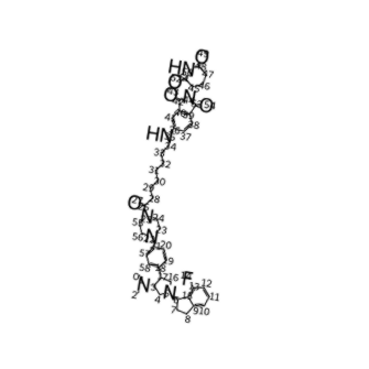 CN(C)[C@H]1CN(C2CCc3cccc(F)c32)C[C@@H]1c1ccc(N2CCN(C(=O)CCCCCCCNc3ccc4c(c3)C(=O)N(C3CCC(=O)NC3=O)C4=O)CC2)cc1